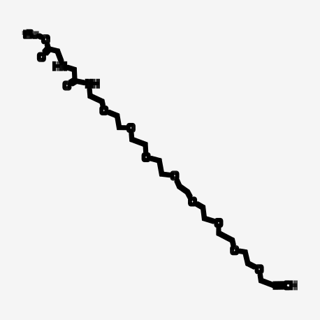 C#CCOCCOCCOCCOCCOCCOCCOCCOCCNC(=O)CNCC(=O)OC(C)(C)C